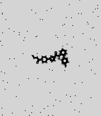 CCCC(=O)N1CCC(c2nc(C(=O)Nc3ccccc3-c3ccc(F)cc3)cs2)CC1